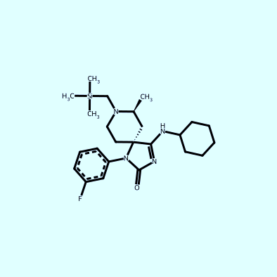 C[C@H]1C[C@]2(CCN1C[Si](C)(C)C)C(NC1CCCCC1)=NC(=O)N2c1cccc(F)c1